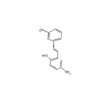 O=[N+]([O-])c1ccc(O)c(/C=C/c2cccc(Cl)c2)c1